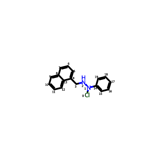 ClN(NCc1cccc2ccccc12)c1ccccc1